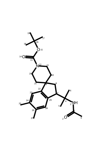 CC(=O)NC(C)(C)C1CC2(CCN(C(=O)OC(C)(C)C)CC2)c2cc(C)c(C)cc21